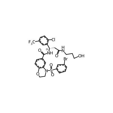 O=C(C[C@H](NC(=O)c1ccc2c(c1)N(S(=O)(=O)c1cccc(Br)c1)CCO2)c1cc(C(F)(F)F)ccc1Cl)NCCCO